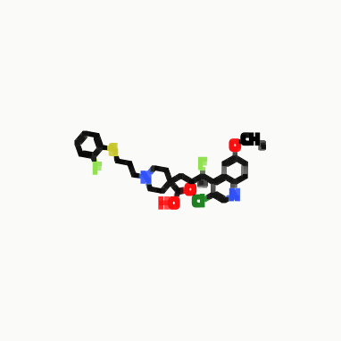 COc1ccc2ncc(Cl)c([C@H](F)CCC3(C(=O)O)CCN(CCCSc4ccccc4F)CC3)c2c1